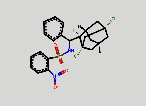 O=[N+]([O-])c1ccccc1S(=O)(=O)N[C@@H](c1ccccc1)[C@H]1[C@H]2C[C@@H]3C[C@](Cl)(C2)C[C@@]1(Cl)C3